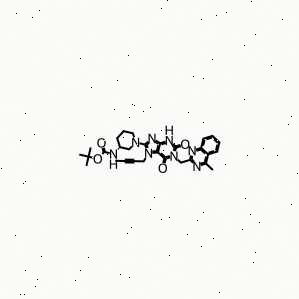 CC#CCn1c(N2CCC[C@@H](NC(=O)OC(C)(C)C)C2)nc2[nH]c(=O)n(Cc3nc(C)c4ccccc4n3)c(=O)c21